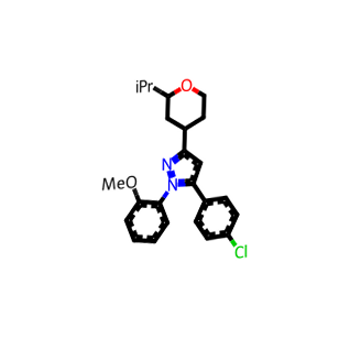 COc1ccccc1-n1nc(C2CCOC(C(C)C)C2)cc1-c1ccc(Cl)cc1